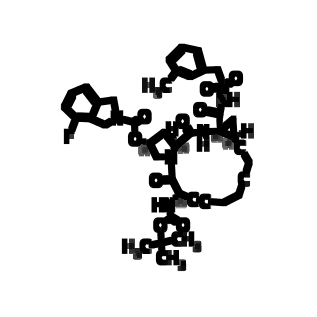 Cc1cccc(CS(=O)(=O)NC(=O)[C@@]23C[C@H]2CCCCCCC[C@H](NC(=O)OC(C)(C)C)C(=O)N2C[C@H](OC(=O)N4Cc5cccc(F)c5C4)C[C@H]2C(=O)N3)c1